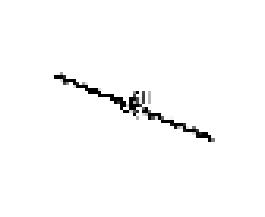 CCCCCCCCCCCCOP(S)OCCCCCCCCCCCC